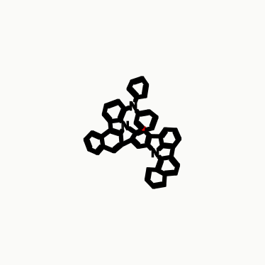 c1ccc(N(c2ccccc2)c2cccc3c4c5ccccc5cc5c6cc7c(cc6n(c23)c54)c2cccc3c4ccc5ccccc5c4n7c23)cc1